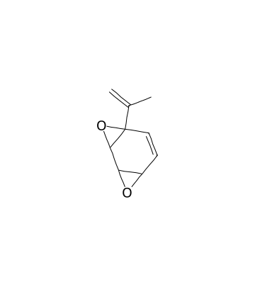 C=C(C)C12C=CC3OC3C1O2